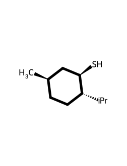 CC(C)[C@@H]1CC[C@@H](C)C[C@H]1S